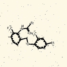 CCC(=O)Nc1c(COc2ccc(CC)cc2C)cccc1C(F)(F)F